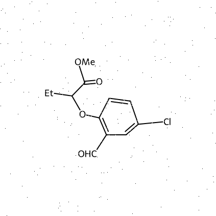 CCC(Oc1ccc(Cl)cc1C=O)C(=O)OC